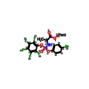 CCC[C@H](C)OC(=O)[C@H](C)N[P@](=O)(Oc1ccc(Br)cc1)Oc1c(F)c(F)c(F)c(F)c1F